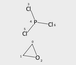 C1CO1.ClP(Cl)Cl